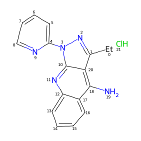 CCc1nn(-c2ccccn2)c2nc3ccccc3c(N)c12.Cl